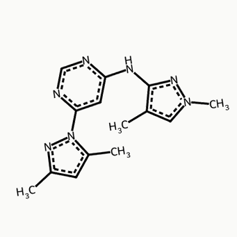 Cc1cc(C)n(-c2cc(Nc3nn(C)cc3C)ncn2)n1